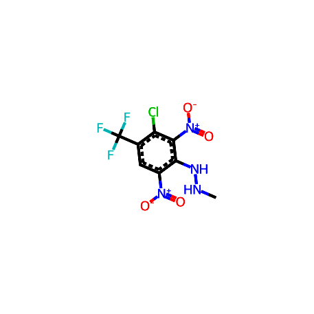 CNNc1c([N+](=O)[O-])cc(C(F)(F)F)c(Cl)c1[N+](=O)[O-]